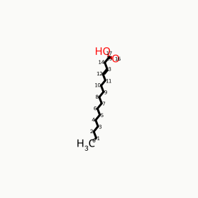 CCCCCCCCCCCC/C=C/CC(=O)O